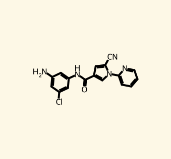 N#Cc1cc(C(=O)Nc2cc(N)cc(Cl)c2)cn1-c1ccccn1